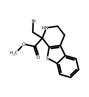 COC(=O)C1(CBr)NCCc2c1sc1ccccc21